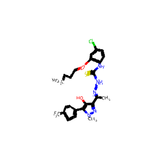 C/C(=N\NC(=S)Nc1ccc(Cl)cc1OCCCC(=O)O)c1nn(C)c(-c2ccc(C(F)(F)F)cc2)c1O